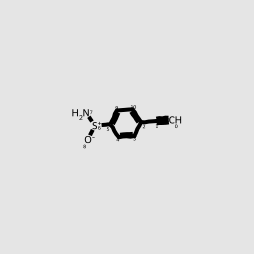 C#Cc1ccc([S+](N)[O-])cc1